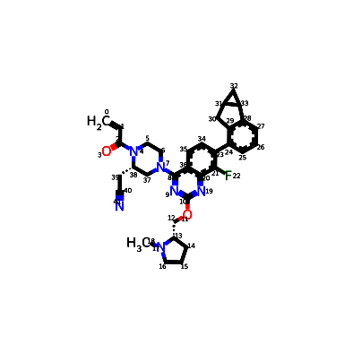 C=CC(=O)N1CCN(c2nc(OC[C@@H]3CCCN3C)nc3c(F)c(-c4cccc5c4CC4CC54)ccc23)C[C@@H]1CC#N